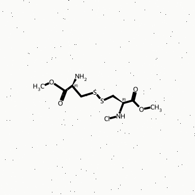 COC(=O)[C@H](CSSC[C@H](N)C(=O)OC)NCl